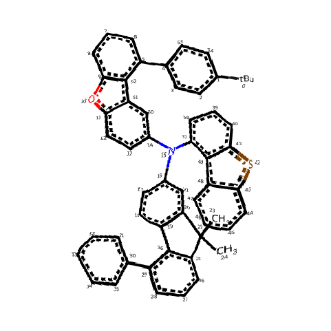 CC(C)(C)c1ccc(-c2cccc3oc4ccc(N(c5ccc6c(c5)C(C)(C)c5cccc(-c7ccccc7)c5-6)c5cccc6sc7ccccc7c56)cc4c23)cc1